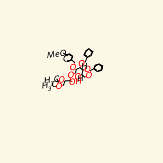 COc1ccc(CO[C@@H]2[C@H](OC(O)C3COC(C)(C)O3)O[C@@H]3COC(c4ccccc4)O[C@H]3[C@@H]2OCc2ccccc2)cc1